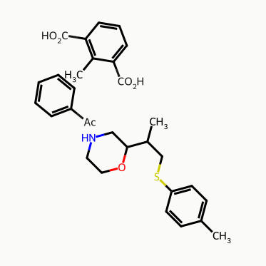 CC(=O)c1ccccc1.Cc1c(C(=O)O)cccc1C(=O)O.Cc1ccc(SCC(C)C2CNCCO2)cc1